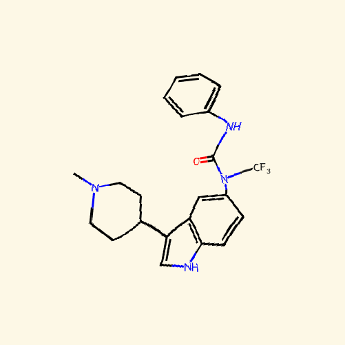 CN1CCC(c2c[nH]c3ccc(N(C(=O)Nc4ccccc4)C(F)(F)F)cc23)CC1